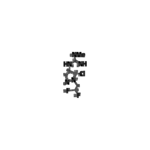 CNC(=N)Nc1cnn(CC(F)F)c1Cl